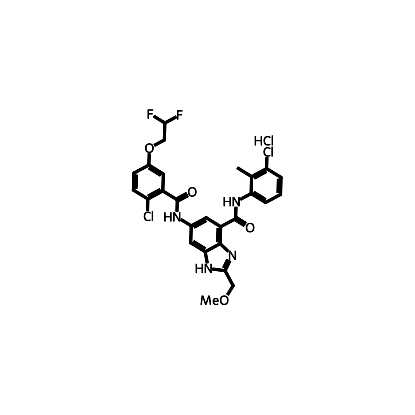 COCc1nc2c(C(=O)Nc3cccc(Cl)c3C)cc(NC(=O)c3cc(OCC(F)F)ccc3Cl)cc2[nH]1.Cl